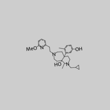 COc1cccc(CCN2CCC3(c4cc(O)ccc4C)CCN(CC4CC4)C(C)C3(O)CC2)n1